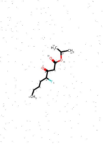 CCCCC(F)C(=O)CC(=O)OC(C)C